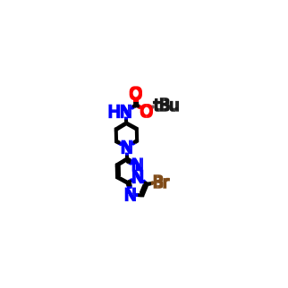 CC(C)(C)OC(=O)NC1CCN(c2ccc3ncc(Br)n3n2)CC1